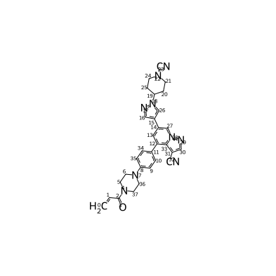 C=CC(=O)N1CCN(c2ccc(-c3cc(-c4cnn(C5CCN(C#N)CC5)c4)cn4ncc(C#N)c34)cc2)CC1